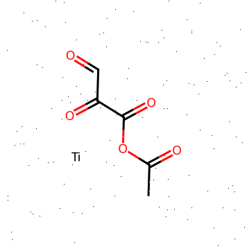 CC(=O)OC(=O)C(=O)C=O.[Ti]